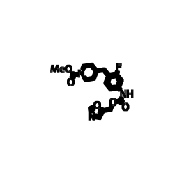 COC(=O)N1CCC(Cc2ccc(NC(=O)OCc3cnco3)cc2F)CC1